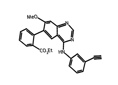 C#Cc1cccc(Nc2ncnc3cc(OC)c(-c4ccccc4C(=O)OCC)cc23)c1